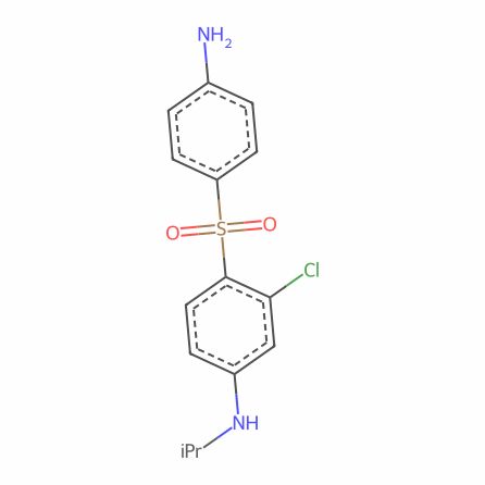 CC(C)Nc1ccc(S(=O)(=O)c2ccc(N)cc2)c(Cl)c1